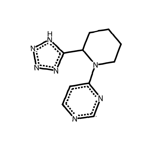 [c]1nccc(N2CCCCC2c2nnn[nH]2)n1